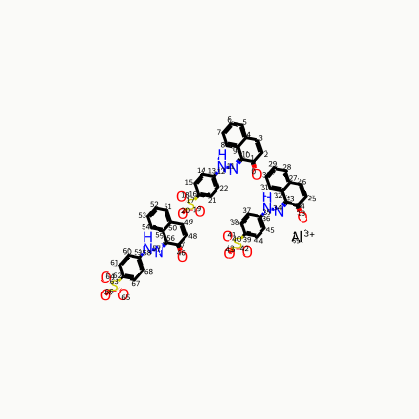 O=C1C=Cc2ccccc2/C1=N\Nc1ccc(S(=O)(=O)[O-])cc1.O=C1C=Cc2ccccc2/C1=N\Nc1ccc(S(=O)(=O)[O-])cc1.O=C1C=Cc2ccccc2/C1=N\Nc1ccc(S(=O)(=O)[O-])cc1.[Al+3]